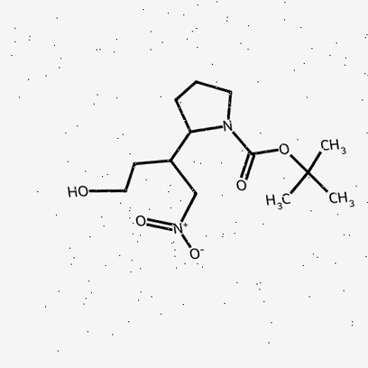 CC(C)(C)OC(=O)N1CCCC1C(CCO)C[N+](=O)[O-]